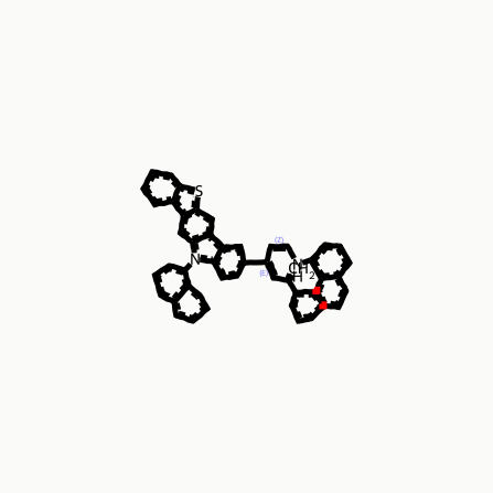 C=C(/C=C(\C=C/Nc1cccc2ccccc12)c1ccc2c(c1)c1cc3sc4ccccc4c3cc1n2-c1cccc2ccccc12)c1ccccc1